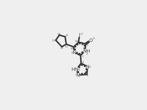 O=c1[nH]c(-c2ncn[nH]2)nc(C2CCCC2)c1I